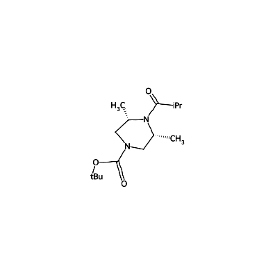 CC(C)C(=O)N1[C@H](C)CN(C(=O)OC(C)(C)C)C[C@@H]1C